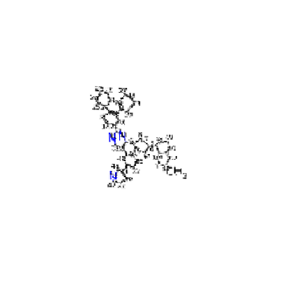 Cc1ccc2c(-c3ccc(-c4nc(-c5c#cc6c(c5)c5c(c7ccccc76)C=C=C=C5)ncc4-c4cccc(C5=C=C=CN=C5)c4)cc3)cccc2c1